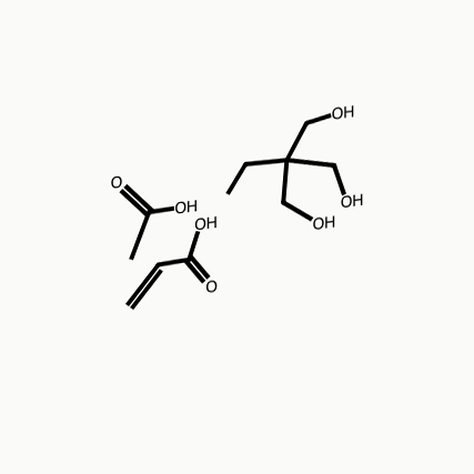 C=CC(=O)O.CC(=O)O.CCC(CO)(CO)CO